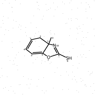 CC12CC=CC=C1OC(S)=N2